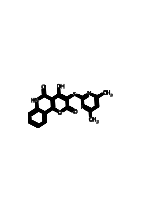 Cc1cc(C)nc(Sc2c(O)c3c(=O)[nH]c4ccccc4c3oc2=O)n1